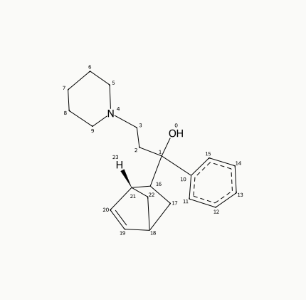 OC(CCN1CCCCC1)(c1ccccc1)C1CC2C=C[C@H]1C2